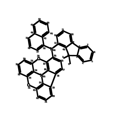 CC1(C)c2ccccc2-c2cccc(N(c3ccc4c5cccc6c5n5c4c3Oc3cccc(c3-5)O6)c3cccc4ccccc34)c21